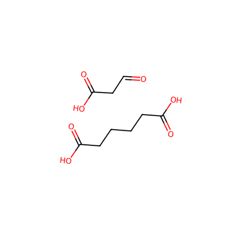 O=C(O)CCCCC(=O)O.O=CCC(=O)O